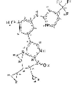 Cc1cc(Nc2nccc(C(F)(F)F)n2)cc(-c2ccc(C(=O)N(C)C(C3CC3)C3CC3)nc2)c1